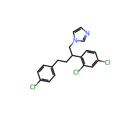 Clc1ccc(CCC(Cn2ccnc2)c2ccc(Cl)cc2Cl)cc1